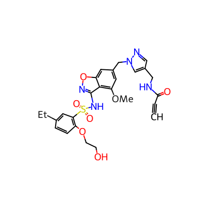 C#CC(=O)NCc1cnn(Cc2cc(OC)c3c(NS(=O)(=O)c4cc(CC)ccc4OCCO)noc3c2)c1